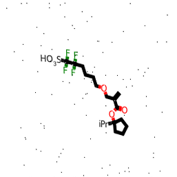 C=C(COCCCCC(F)(F)C(F)(F)S(=O)(=O)O)C(=O)OC1(C(C)C)CCCC1